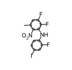 Cc1cc(F)c(F)c(Nc2ccc(I)cc2F)c1[N+](=O)[O-]